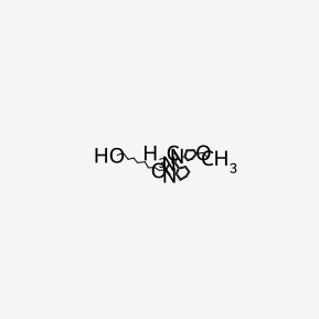 COc1ccc(N(C)c2nc(OCCCCCCCO)nc3ccccc23)cc1